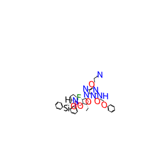 CC[C@H]1O[C@@H](n2cnc3c(OCCC#N)nc(NC(=O)COc4ccccc4)nc32)[C@@H](F)C1O[P@@]1O[C@H](C[Si](C)(c2ccccc2)c2ccccc2)[C@@H]2CCCN21